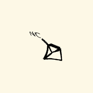 N#CC1C2CC1C2